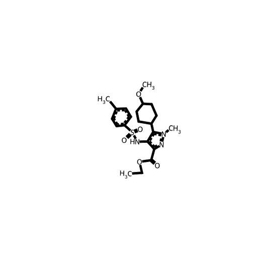 CCOC(=O)c1nn(C)c(C2CCC(OC)CC2)c1NS(=O)(=O)c1ccc(C)cc1